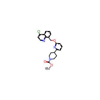 CC(C)(C)OC(=O)N1CCC(c2cccc(OCc3cccc4c(Cl)ccnc34)n2)CC1